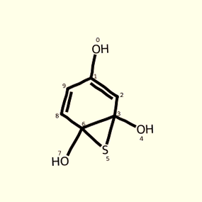 OC1=CC2(O)SC2(O)C=C1